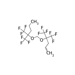 C=CCC(OCOC(CCC)(C(F)(F)F)C(F)(F)F)(C(F)(F)F)C(F)(F)F